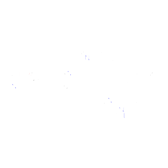 CN(C)CC1(O)CCN(c2cc(-c3n[nH]c4ccccc34)ccn2)CC1